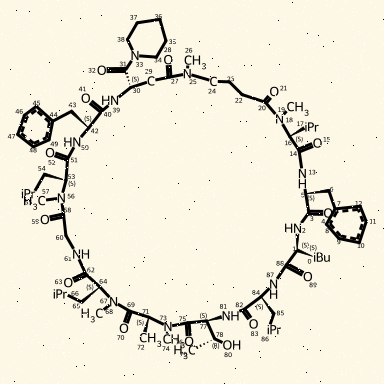 CC[C@H](C)[C@@H]1NC(=O)[C@H](Cc2ccccc2)NC(=O)[C@H](C(C)C)N(C)C(=O)CCCN(C)C(=O)C[C@@H](C(=O)N2CCCCC2)NC(=O)[C@H](Cc2ccccc2)NC(=O)[C@H](CC(C)C)N(C)C(=O)CNC(=O)[C@H](CC(C)C)N(C)C(=O)[C@H](C)N(C)C(=O)[C@H]([C@@H](C)O)NC(=O)[C@H](CC(C)C)NC1=O